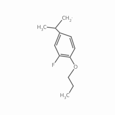 [CH2]C(C)c1ccc(OCCC)c(F)c1